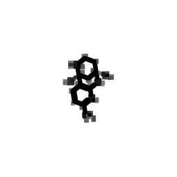 FC(F)(F)c1ccc2c(n1)O[C@@H]1CCN[C@H]2C1